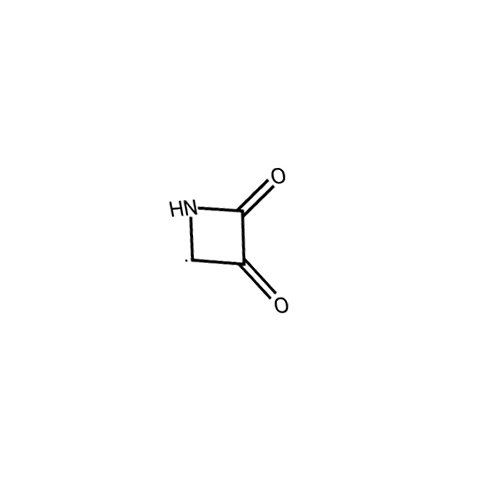 O=C1[CH]NC1=O